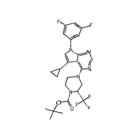 CC(C)(C)OC(=O)N1CCN(c2ncnc3c2c(C2CC2)cn3-c2cc(F)cc(F)c2)CC1C(F)(F)F